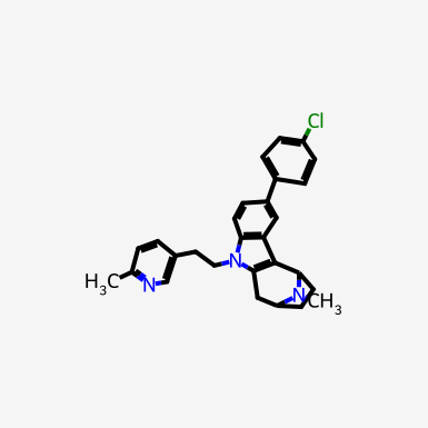 Cc1ccc(CCn2c3c(c4cc(-c5ccc(Cl)cc5)ccc42)C2CCC(C3)N2C)cn1